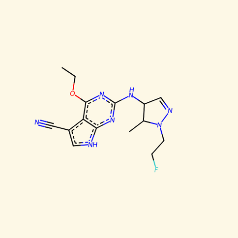 CCOc1nc(NC2C=NN(CCF)C2C)nc2[nH]cc(C#N)c12